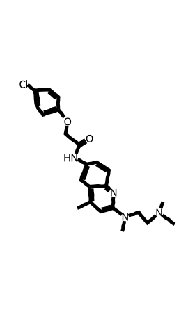 Cc1cc(N(C)CCN(C)C)nc2ccc(NC(=O)COc3ccc(Cl)cc3)cc12